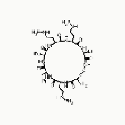 CCC1NC(=O)C(CCNP)NC(=O)C(CCNP)NC(=O)C(C(C)CC)NC(=O)C(CC(C)C)NC(=O)C(CCNP)NC(=O)C(N)CCNC1=O